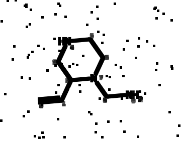 C=CC1CNCCN1CN